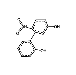 O=[SH](=O)c1ccc(O)cc1-c1ccccc1O